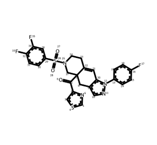 O=C(c1cscn1)C12Cc3cnn(-c4ccc(F)cc4)c3C=C1CCN(S(=O)(=O)c1ccc(F)c(F)c1)C2